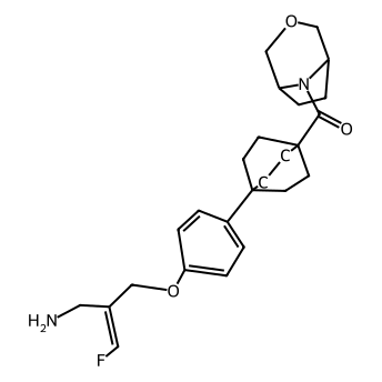 NCC(=CF)COc1ccc(C23CCC(C(=O)N4C5CCC4COC5)(CC2)CC3)cc1